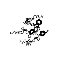 CC(C)N(C(=O)COc1nnc(C(F)(F)F)s1)c1ccc(F)cc1.CCCCCOC(=O)COc1cc(N2C(=O)C3=C(CCCC3)C2=O)c(F)cc1Cl.O=C(O)CNCP(=O)(O)O